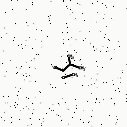 CC(C)C[O].C[O]